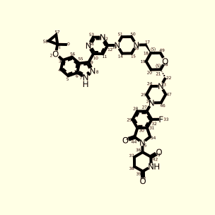 CC1(Oc2ccc3[nH]nc(-c4cc(N5CCN(C[C@@H]6CC[C@@H](CN7CCN(c8ccc9c(c8F)CN(C8CCC(=O)NC8=O)C9=O)CC7)OC6)CC5)ncn4)c3c2)CC1